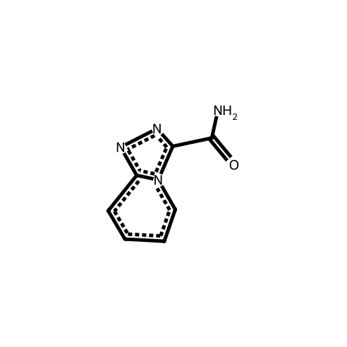 NC(=O)c1nnc2ccccn12